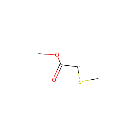 COC(=O)[CH]SC